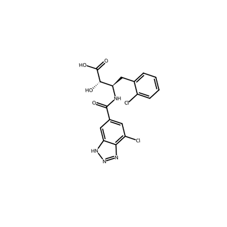 O=C(N[C@H](Cc1ccccc1Cl)[C@H](O)C(=O)O)c1cc(Cl)c2nn[nH]c2c1